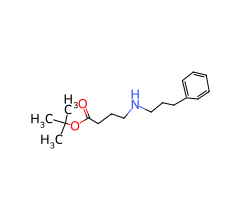 CC(C)(C)OC(=O)CCCNCCCc1ccccc1